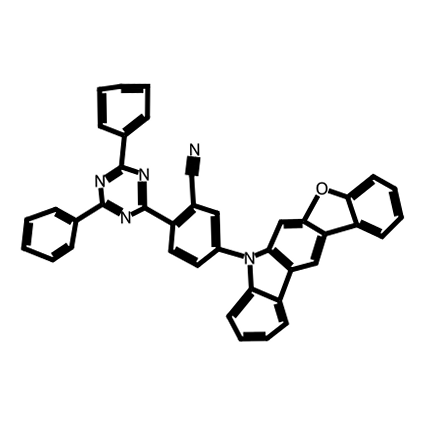 N#Cc1cc(-n2c3ccccc3c3cc4c(cc32)oc2ccccc24)ccc1-c1nc(-c2ccccc2)nc(-c2ccccc2)n1